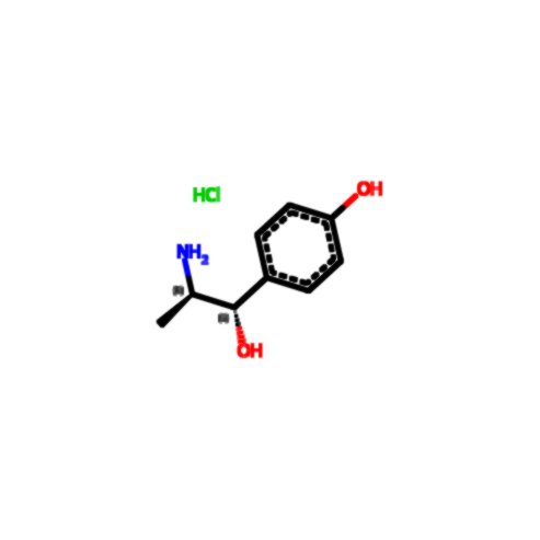 C[C@@H](N)[C@@H](O)c1ccc(O)cc1.Cl